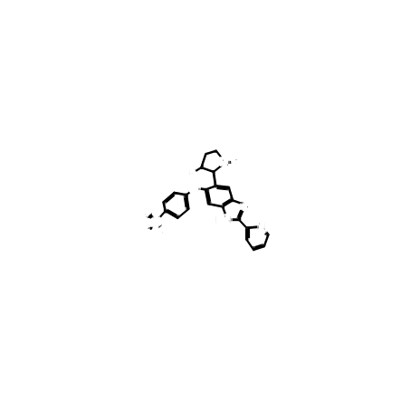 CC(=O)N1CCC(F)C1c1cc2nc(-c3ccccn3)[nH]c2cc1Oc1ccc(S(C)(=O)=O)cc1